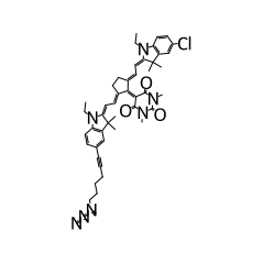 CCN1/C(=C/C=C2\CC/C(=C\C=C3\N(CC)c4ccc(C#CCCCCN=[N+]=[N-])cc4C3(C)C)C2=C2C(=O)N(C)C(=O)N(C)C2=O)C(C)(C)c2cc(Cl)ccc21